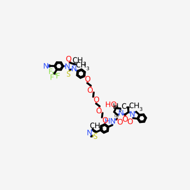 Cc1ncsc1-c1ccc(CNC(=O)[C@@H]2C[C@@H](O)CN2C(=O)C(C(C)C)N2Cc3ccccc3C2=O)c(OCCOCCOCCOCCOc2ccc(N3C(=S)N(c4ccc(C#N)c(C(F)(F)F)c4)C(=O)C3(C)C)cc2)c1